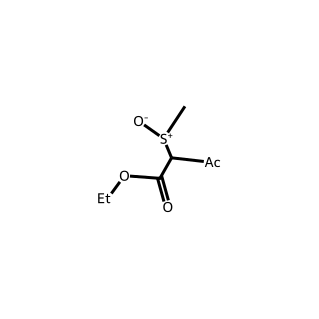 CCOC(=O)C(C(C)=O)[S+](C)[O-]